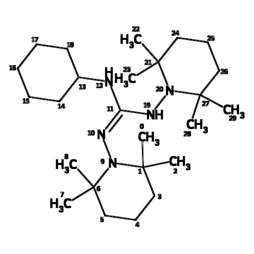 CC1(C)CCCC(C)(C)N1N=C(NC1CCCCC1)NN1C(C)(C)CCCC1(C)C